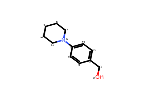 OCc1c[c]c(N2CCCCC2)cc1